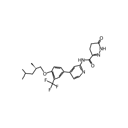 CC(C)C[C@@H](C)COc1ccc(-c2ccnc(NC(=O)C3=NNC(=O)CC3)c2)cc1C(F)(F)F